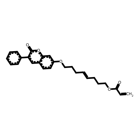 C=CC(=O)OCCC/C=C/CCCOc1ccc2cc(-c3ccccc3)c(=O)oc2c1